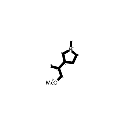 COCC(C)C1CCN(C)C1